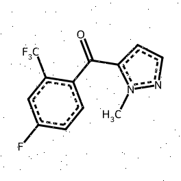 Cn1nccc1C(=O)c1ccc(F)cc1C(F)(F)F